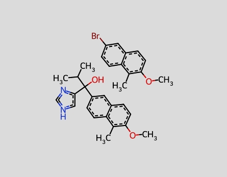 COc1ccc2cc(Br)ccc2c1C.COc1ccc2cc(C(O)(c3c[nH]cn3)C(C)C)ccc2c1C